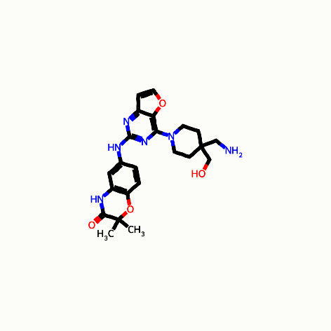 CC1(C)Oc2ccc(Nc3nc(N4CCC(CN)(CO)CC4)c4occc4n3)cc2NC1=O